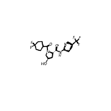 O=C(Nc1ccc(C(F)(F)F)cn1)[C@@H]1C[C@@H](O)CN1C(=O)C1CCC(F)(F)CC1